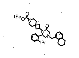 CC(C)c1ccccc1C1CN(Cc2cccc3c2CCCC3)CC(=O)N1C1CC2(CCN(C(=O)OC(C)(C)C)CC2)C1